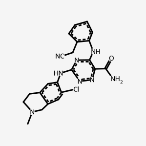 CN1CCc2cc(Nc3nnc(C(N)=O)c(Nc4ccccc4CC#N)n3)c(Cl)cc2C1